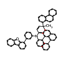 CC1(c2cccc3c2ccc2ccccc23)C=CC(N(c2cccc(-c3cccc4c3oc3ccccc34)c2)c2ccccc2-c2cccc3cccc(-c4ccccc4)c23)=CC1